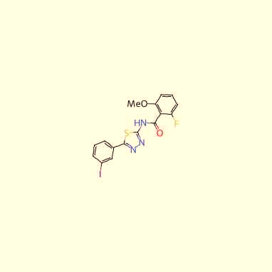 COc1cccc(F)c1C(=O)Nc1nnc(-c2cccc(I)c2)s1